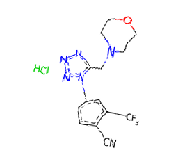 Cl.N#Cc1ccc(-n2nnnc2CN2CCOCC2)cc1C(F)(F)F